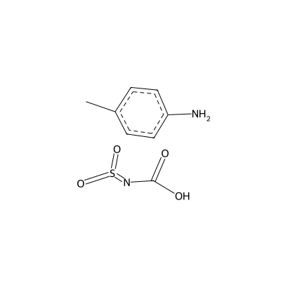 Cc1ccc(N)cc1.O=C(O)N=S(=O)=O